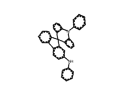 c1ccc(Nc2ccc3c(c2)C2(c4ccccc4-3)c3ccccc3N(c3ccccc3)c3ccccc32)cc1